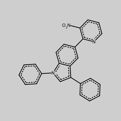 O=[N+]([O-])c1cccnc1-c1ccc2c(c1)c(-c1ccccc1)cn2-c1ccccc1